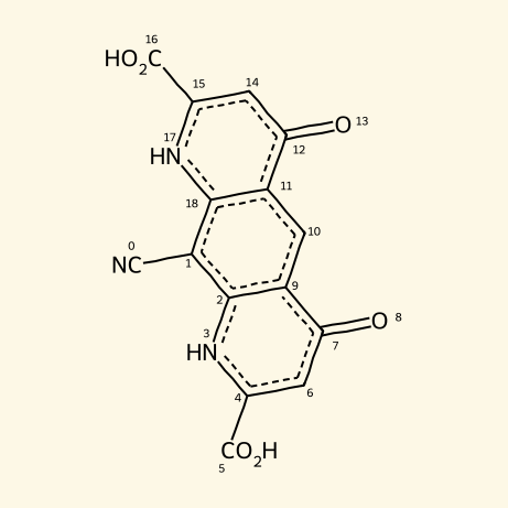 N#Cc1c2[nH]c(C(=O)O)cc(=O)c2cc2c(=O)cc(C(=O)O)[nH]c12